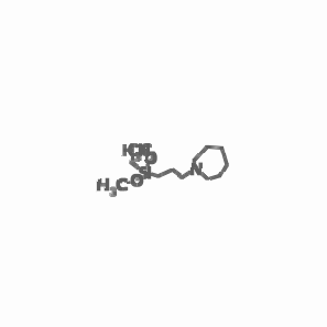 CC[Si](CCCN1CCCCCC1)(OC)OC